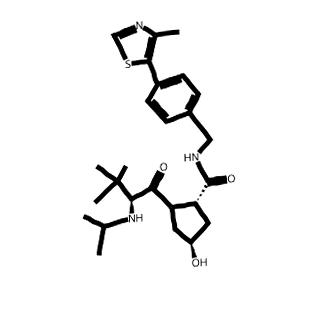 Cc1ncsc1-c1ccc(CNC(=O)[C@@H]2C[C@@H](O)CC2C(=O)[C@@H](NC(C)C)C(C)(C)C)cc1